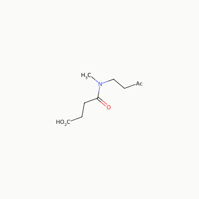 CC(=O)CCN(C)C(=O)CCC(=O)O